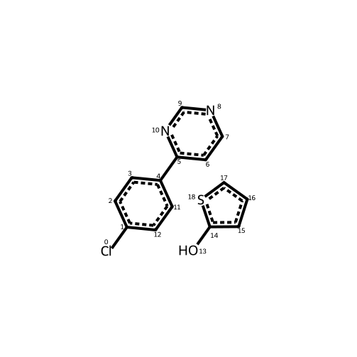 Clc1ccc(-c2ccncn2)cc1.Oc1cccs1